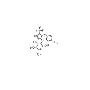 Cc1ccc(Cc2c(O[C@@H]3[C@@H](O)[C@H](O)[C@@H](CO)O[C@H]3O)n[nH]c2C(F)(F)F)cc1